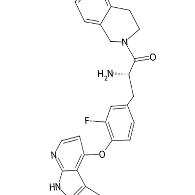 Cc1c[nH]c2nccc(Oc3ccc(C[C@H](N)C(=O)N4CCc5ccccc5C4)cc3F)c12